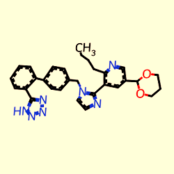 CCCCc1ncc(C2OCCCO2)cc1-c1nccn1Cc1ccc(-c2ccccc2-c2nnn[nH]2)cc1